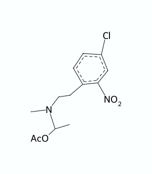 CC(=O)OC(C)N(C)CCc1ccc(Cl)cc1[N+](=O)[O-]